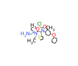 C=CCN(C(=O)C(c1cccs1)N(C(=O)CCl)c1ccc(Oc2ccccc2)cc1C)C(C)CN